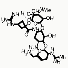 CN[C@@H]1[C@@H](O)[C@@H](O[C@H]2[C@H](NC(=O)C3(O)CC(NC(=N)N)C3)C[C@H](N)C(O[C@H]3OC(CN)=CC[C@H]3NC(=N)N)[C@@H]2O)OC[C@]1(C)O